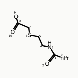 CCCC(=O)NCCSCC([O])=O